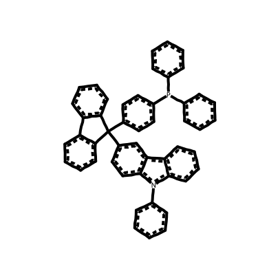 c1ccc(-n2c3ccccc3c3cc(C4(c5ccc(P(c6ccccc6)c6ccccc6)cc5)c5ccccc5-c5ccccc54)ccc32)cc1